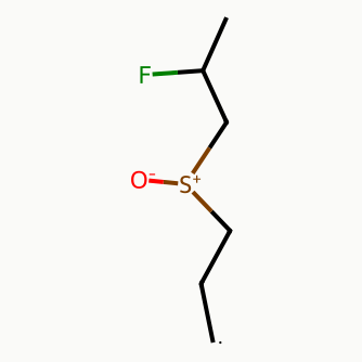 [CH2]CC[S+]([O-])CC(C)F